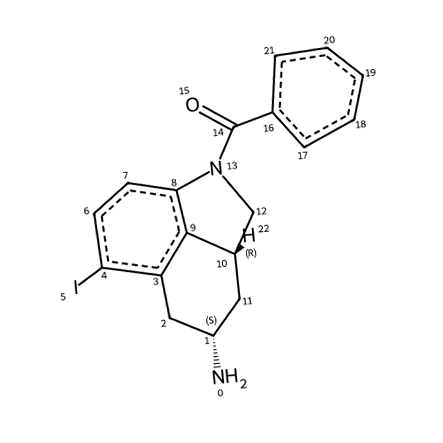 N[C@@H]1Cc2c(I)ccc3c2[C@@H](C1)CN3C(=O)c1ccccc1